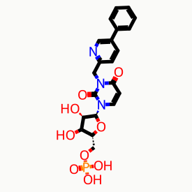 O=c1ccn([C@@H]2O[C@H](COP(=O)(O)O)C(O)[C@@H]2O)c(=O)n1Cc1ccc(-c2ccccc2)cn1